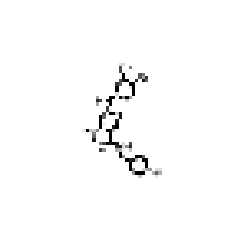 CC(C)c1cc(Nc2ccc(Br)c(Br)c2)ncc1C(=O)NCc1ccc(F)cc1